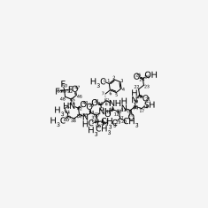 Cc1ccccc1C[C@H](NC(=O)[C@H](NC(=O)[C@H](CS)NC(=O)CCC(=O)O)C(C)C)C(=O)N[C@H](C(=O)N[C@@H](CC(C)C)C(=O)NC(C=O)CC(F)(F)F)C(C)(C)C